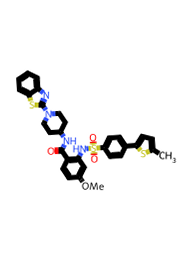 COc1ccc(C(=O)NC2CCN(c3nc4ccccc4s3)CC2)c(NS(=O)(=O)c2ccc(-c3ccc(C)s3)cc2)c1